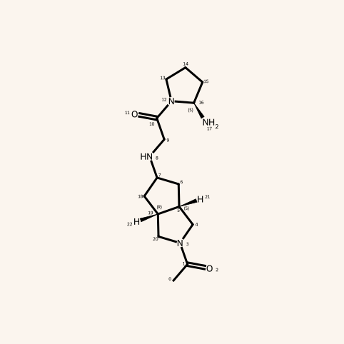 CC(=O)N1C[C@H]2CC(NCC(=O)N3CCC[C@H]3N)C[C@H]2C1